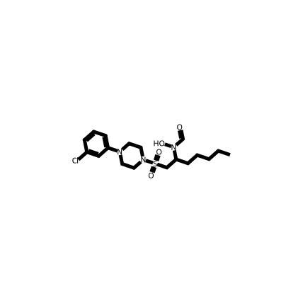 CCCCCC(CS(=O)(=O)N1CCN(c2cccc(Cl)c2)CC1)N(O)C=O